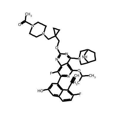 C#Cc1c(F)ccc2cc(O)cc(-c3nc(OC(C)C)c4c(N5CC6CCC(C5)N6)nc(OCC5(CN6CCN(C(C)=O)CC6)CC5)nc4c3F)c12